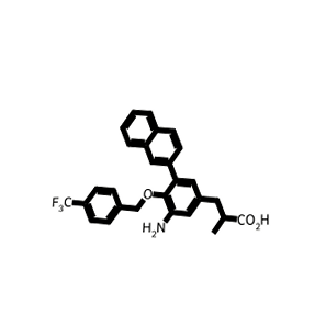 CC(Cc1cc(N)c(OCc2ccc(C(F)(F)F)cc2)c(-c2ccc3ccccc3c2)c1)C(=O)O